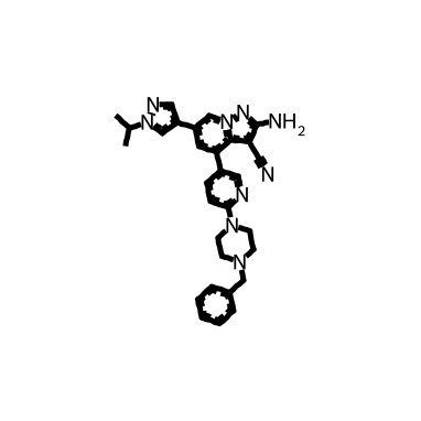 CC(C)n1cc(-c2cc(-c3ccc(N4CCN(Cc5ccccc5)CC4)nc3)c3c(C#N)c(N)nn3c2)cn1